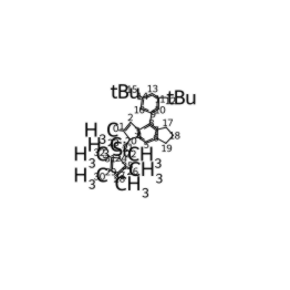 CC1=Cc2c(cc3c(c2-c2cc(C(C)(C)C)cc(C(C)(C)C)c2)CCC3)C1[Si](C)(C)C1C(C)=C(C)C(C)=C1C